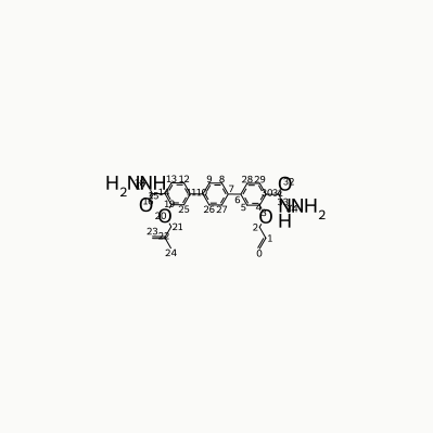 C=CCOc1cc(-c2ccc(-c3ccc(C(=O)NN)c(OCC(=C)C)c3)cc2)ccc1C(=O)NN